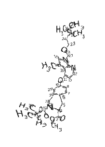 COC(=O)[C@H]1Cc2ccc(Oc3ccnc4c3c(C)cn4COCC[Si](C)(C)C)cc2CN1C(=O)OC(C)(C)C